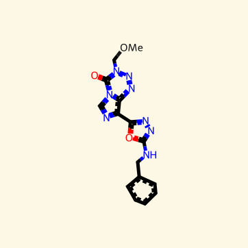 COCn1nnc2c(-c3nnc(NCc4ccccc4)o3)ncn2c1=O